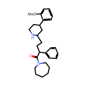 COc1ccccc1C1CCNC(CCC(C(=O)N2CCCCCC2)c2ccccc2)C1